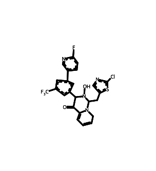 O=C1C2=CC=CCN2C(Cc2cnc(Cl)s2)N(O)C1c1cc(-c2ccc(F)nc2)cc(C(F)(F)F)c1